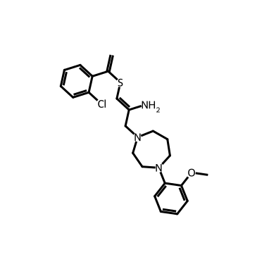 C=C(S/C=C(\N)CN1CCCN(c2ccccc2OC)CC1)c1ccccc1Cl